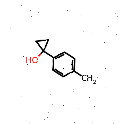 [CH2]c1ccc(C2(O)CC2)cc1